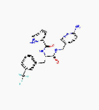 Nc1ccc(CNC(=O)[C@H](Cc2cccc(C(F)(F)F)c2)NC(=O)c2ccc[nH]2)cn1